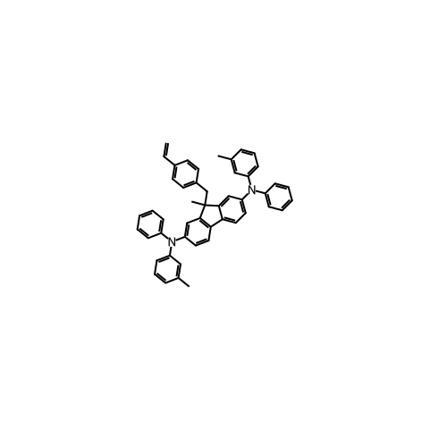 C=Cc1ccc(CC2(C)c3cc(N(c4ccccc4)c4cccc(C)c4)ccc3-c3ccc(N(c4ccccc4)c4cccc(C)c4)cc32)cc1